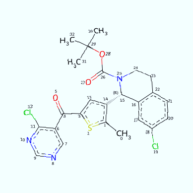 Cc1sc(C(=O)c2cncnc2Cl)cc1[C@H]1c2cc(Cl)ccc2CCN1C(=O)OC(C)(C)C